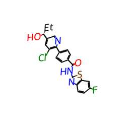 CC[C@@H](O)c1cnc(-c2ccc(C(=O)Nc3nc4ccc(F)cc4s3)cc2)c(Cl)c1